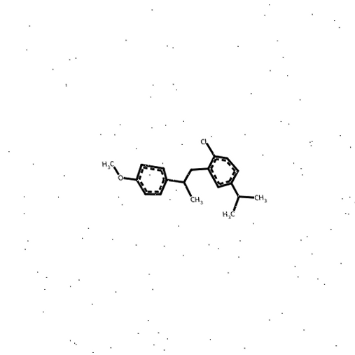 COc1ccc(C(C)Cc2cc(C(C)C)ccc2Cl)cc1